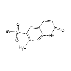 Cc1cc2[nH]c(=O)ccc2cc1S(=O)(=O)C(C)C